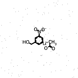 CC(=O)[O-].O=[N+]([O-])c1cccc(CO)c1.[Li+]